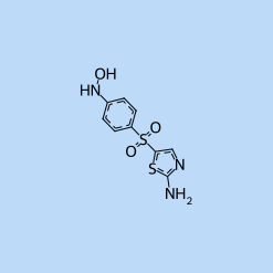 Nc1ncc(S(=O)(=O)c2ccc(NO)cc2)s1